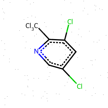 Clc1cnc(C(Cl)(Cl)Cl)c(Cl)c1